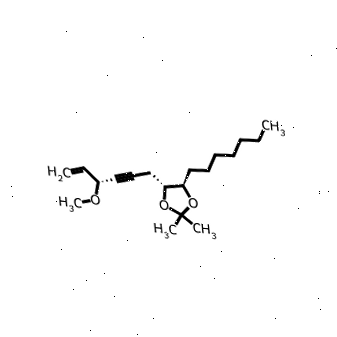 C=C[C@H](C#CC[C@H]1OC(C)(C)O[C@@H]1CCCCCCC)OC